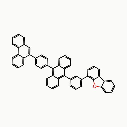 c1cc(-c2c3ccccc3c(-c3ccc(-c4cc5ccccc5c5ccccc45)cc3)c3ccccc23)cc(-c2cccc3c2oc2ccccc23)c1